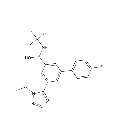 CCn1nccc1-c1cc(-c2ccc(F)cc2)cc(C(O)NC(C)(C)C)c1